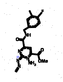 C=N/N=c1/nc(C(=O)NCc2ccc(F)c(C)c2)cc(C(=O)OC)n1N